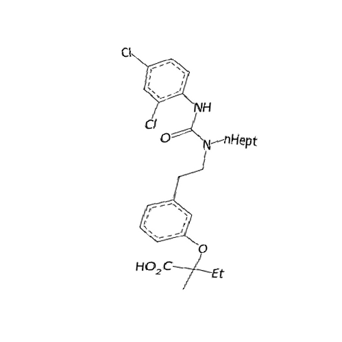 CCCCCCCN(CCc1cccc(OC(C)(CC)C(=O)O)c1)C(=O)Nc1ccc(Cl)cc1Cl